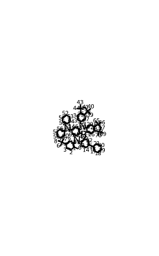 Cc1ccc(C(C)(C)C)cc1N1c2ccc(-c3ccccc3)cc2B2c3cc4c(cc3N(c3ccc5c(c3)C(C)(C)CC5(C)C)c3cc(N(c5ccccc5)c5ccccc5)cc1c32)C(C)(C)CC4(C)C